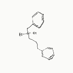 CC[N+](CC)(CCCc1ccccc1)Cc1ccccc1